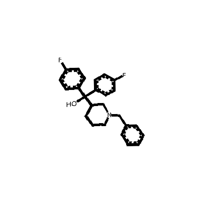 OC(c1ccc(F)cc1)(c1ccc(F)cc1)C1CCCN(Cc2ccccc2)C1